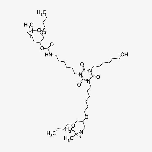 CCCCOCC(CN1CC1(C)C)OCCCCCCn1c(=O)n(CCCCCCO)c(=O)n(CCCCCCNC(=O)OC(COCCCC)CN2CC2(C)C)c1=O